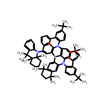 CC(C)(C)c1ccc(N2c3ccc(N4c5ccccc5C(C)(C)C5(C)CCCCC45C)cc3B3c4cc5c(cc4N(c4ccc(C(C)(C)C)cc4-c4ccccc4)c4cc(C(C)(C)C)cc2c43)C(C)(C)CCC5(C)C)c(-c2ccccc2)c1